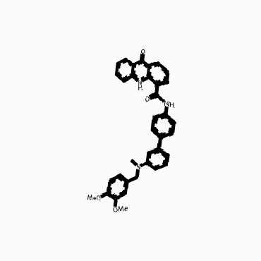 COc1ccc(CN(C)c2cccc(-c3ccc(NC(=O)c4cccc5c(=O)c6ccccc6[nH]c45)cc3)c2)cc1OC